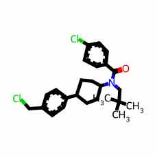 CC(C)(C)CN(C(=O)c1ccc(Cl)cc1)C1CCC(c2ccc(CCl)cc2)CC1